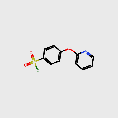 O=S(=O)(Cl)c1ccc(Oc2ccccn2)cc1